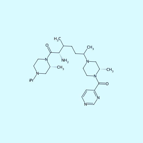 CC(CCC(C)N1CCN(C(=O)c2ccncn2)[C@@H](C)C1)[C@H](N)C(=O)N1CCN(C(C)C)C[C@H]1C